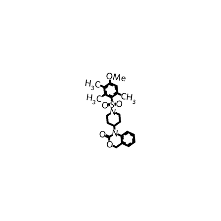 COc1cc(C)c(S(=O)(=O)N2CCC(N3C(=O)OCc4ccccc43)CC2)c(C)c1C